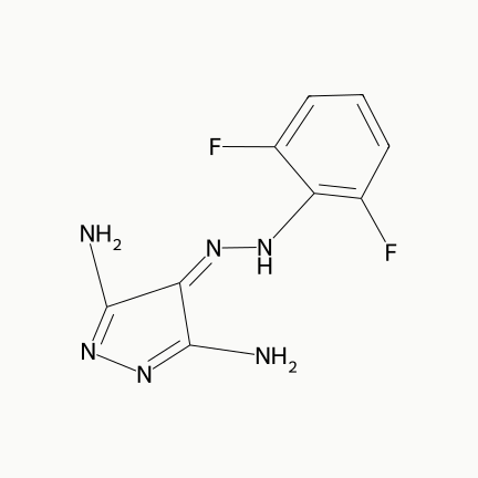 NC1=NN=C(N)C1=NNc1c(F)cccc1F